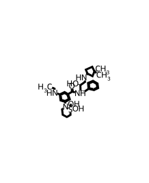 CCNc1cc(C(=O)N[C@@H](Cc2ccccc2)[C@H](O)CNC2CCC(C)(C)C2)cc(N2CCCCS2(O)O)c1